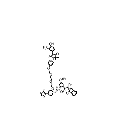 Cc1ncsc1-c1ccc(CNC(=O)[C@@H]2C[C@H](OC(C)(C)C)CC2C(=O)C(C(C)C)N2Cc3ccccc3C2=O)c(OCCOCCOCCOc2ccc(N3C(=O)N(c4ccc(C#N)c(C(F)(F)F)c4)C(=O)C3(C)C)cc2)c1